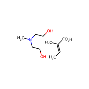 CC=C(C)C(=O)O.CN(CCO)CCO